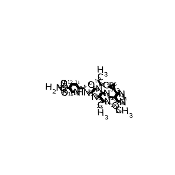 CC[C@H](C)n1c(=O)c(NCc2ccc(S(N)(=O)=O)cn2)nc2c(C)nc(-c3c(OC)ncnc3C3CC3)nc21